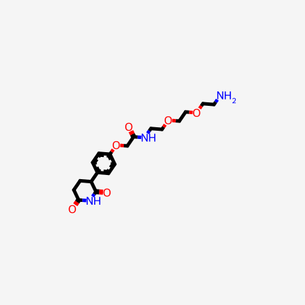 NCCOCCOCCNC(=O)COc1ccc(C2CCC(=O)NC2=O)cc1